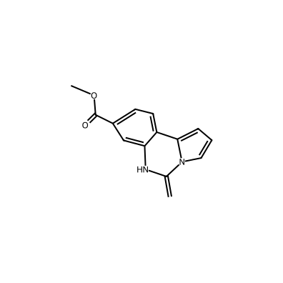 C=C1Nc2cc(C(=O)OC)ccc2-c2cccn21